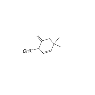 C=C1CC(C)(C)C=CC1C=O